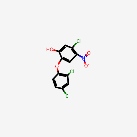 O=[N+]([O-])c1cc(Oc2ccc(Cl)cc2Cl)c(O)cc1Cl